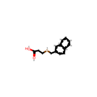 O=C(O)CCSCc1ccc2ccccc2c1